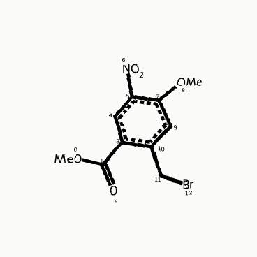 COC(=O)c1cc([N+](=O)[O-])c(OC)cc1CBr